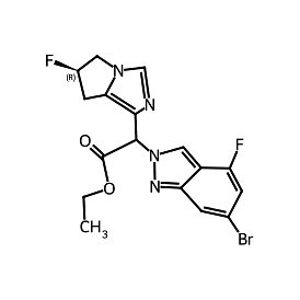 CCOC(=O)C(c1ncn2c1C[C@@H](F)C2)n1cc2c(F)cc(Br)cc2n1